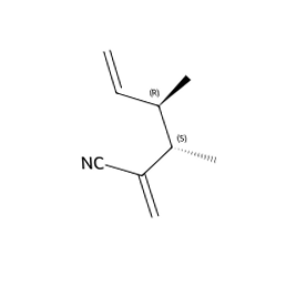 C=C[C@@H](C)[C@H](C)C(=C)C#N